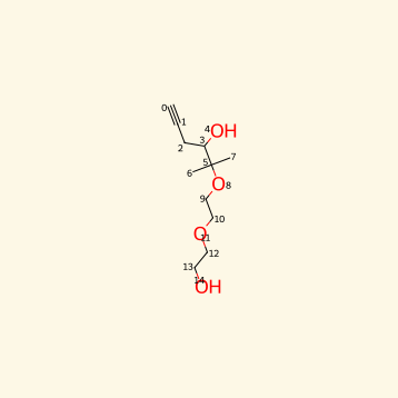 C#CCC(O)C(C)(C)OCCOCCO